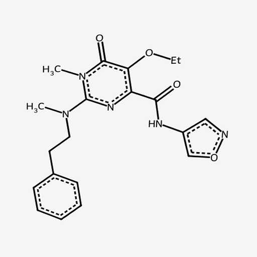 CCOc1c(C(=O)Nc2cnoc2)nc(N(C)CCc2ccccc2)n(C)c1=O